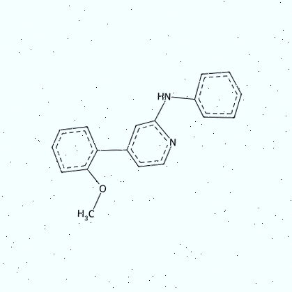 COc1ccccc1-c1ccnc(Nc2ccccc2)c1